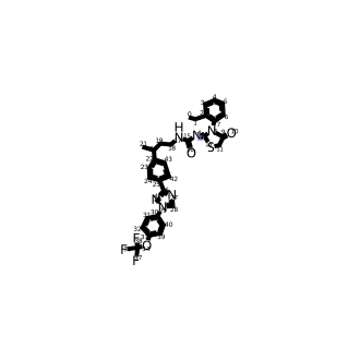 CCc1ccccc1N1C(=O)CS/C1=N\C(=O)NCCC(C)c1ccc(-c2ncn(-c3ccc(OC(F)(F)F)cc3)n2)cc1